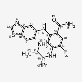 CCC[C@@H](Nc1nc(Nc2ccc3scnc3c2)c(C(N)=O)cc1F)[C@H](C)N